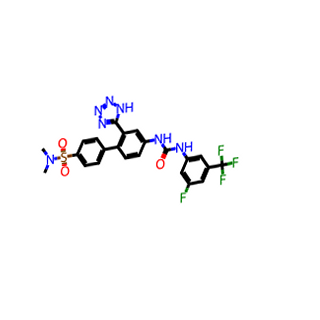 CN(C)S(=O)(=O)c1ccc(-c2ccc(NC(=O)Nc3cc(F)cc(C(F)(F)F)c3)cc2-c2nnn[nH]2)cc1